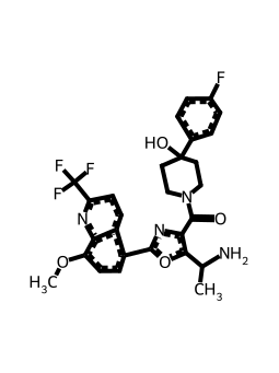 COc1ccc(-c2nc(C(=O)N3CCC(O)(c4ccc(F)cc4)CC3)c(C(C)N)o2)c2ccc(C(F)(F)F)nc12